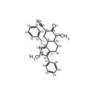 CC1C(=O)C(C#N)C[C@]2(Cc3ccccc3)c3nn(C)c(-c4ccccc4)c3CCC12